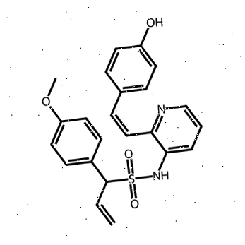 C=CC(c1ccc(OC)cc1)S(=O)(=O)Nc1cccnc1C=Cc1ccc(O)cc1